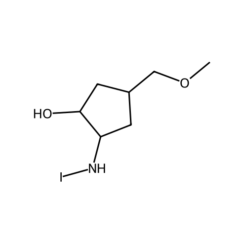 COCC1CC(O)C(NI)C1